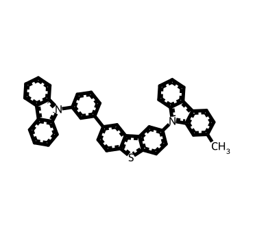 Cc1ccc2c3ccccc3n(-c3ccc4sc5ccc(-c6cccc(-n7c8ccccc8c8ccccc87)c6)cc5c4c3)c2c1